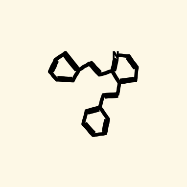 C(=Cc1cccnc1C=Cc1ccccc1)c1ccccc1